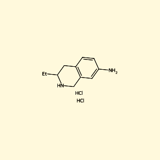 CCC1Cc2ccc(N)cc2CN1.Cl.Cl